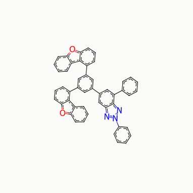 c1ccc(-c2cc(-c3cc(-c4cccc5oc6ccccc6c45)cc(-c4cccc5oc6ccccc6c45)c3)cc3nn(-c4ccccc4)nc23)cc1